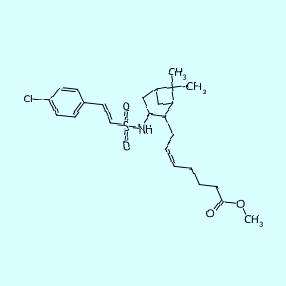 COC(=O)CCC/C=C\CC1C(NS(=O)(=O)C=Cc2ccc(Cl)cc2)CC2CC1C2(C)C